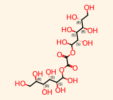 O=C(OC(O)[C@@H](O)[C@@H](O)[C@H](O)[C@H](O)CO)C(=O)OC(O)[C@@H](O)[C@@H](O)[C@H](O)[C@H](O)CO